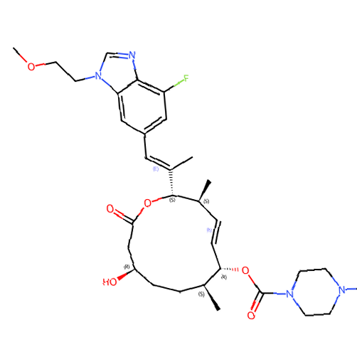 COCCn1cnc2c(F)cc(/C=C(\C)[C@H]3OC(=O)C[C@H](O)CC[C@H](C)[C@@H](OC(=O)N4CCN(C)CC4)/C=C/[C@@H]3C)cc21